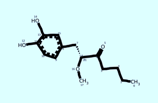 CCCCC(=O)[C@@H](Cc1ccc(O)c(O)c1)OC